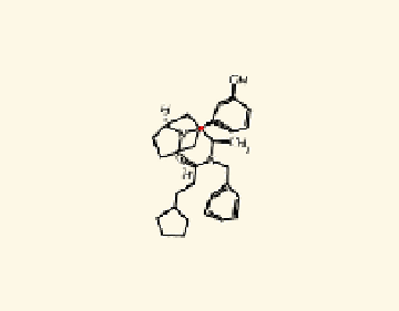 C[C@H](CN1[C@@H]2CC[C@H]1C[C@@H](c1cccc(O)c1)C2)N(Cc1ccccc1)C(=O)CCC1CCCC1